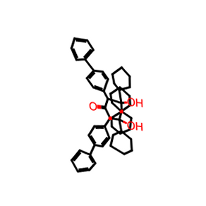 O=C(C(c1ccc(-c2ccccc2)cc1)C(O)(C1CCCCC1)C1CCCCC1)C(c1ccc(-c2ccccc2)cc1)C(O)(C1CCCCC1)C1CCCCC1